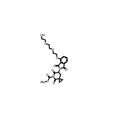 CC(C)(C)OC(=O)N1C(=O)C(N2C(=O)c3cccc(OCCOCCOCCO)c3C2=O)CC2(CC2)C1=O